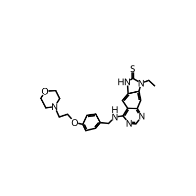 CCn1c(=S)[nH]c2cc3c(NCc4ccc(OCCN5CCOCC5)cc4)ncnc3cc21